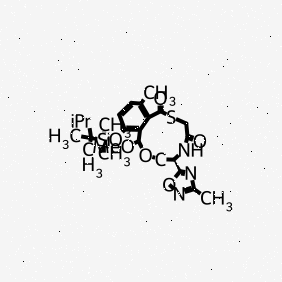 COC1OC[C@H](c2nc(C)no2)NC(=O)CSC(=O)c2c(C)ccc(O[Si](C)(C)C(C)(C)C(C)C)c21